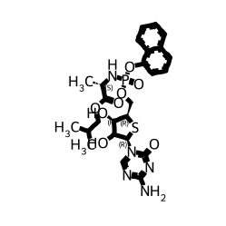 CC(C)COC(=O)[C@H](C)NP(=O)(OC[C@H]1S[C@@H](n2cnc(N)nc2=O)C(O)[C@H]1O)Oc1cccc2ccccc12